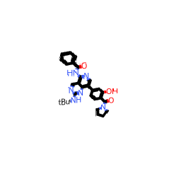 CC(C)(C)Nc1ncc2c(NC(=O)c3ccccc3)ncc(-c3ccc(C(=O)N4CCCC4)c(O)c3)c2n1